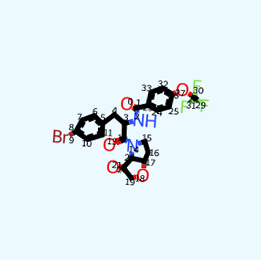 O=C(NC(Cc1ccc(Br)cc1)C(=O)N1CCC2OCC(=O)C21)c1ccc(OC(F)(F)F)cc1